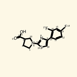 O=C(O)C1CCN(c2nc(-c3ccc(F)cc3F)cs2)C1